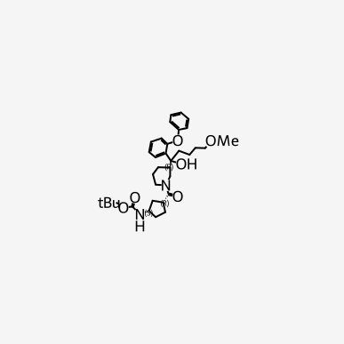 COCCCCC(O)(c1ccccc1Oc1ccccc1)[C@@H]1CCCN(C(=O)[C@@H]2CC[C@H](NC(=O)OC(C)(C)C)C2)C1